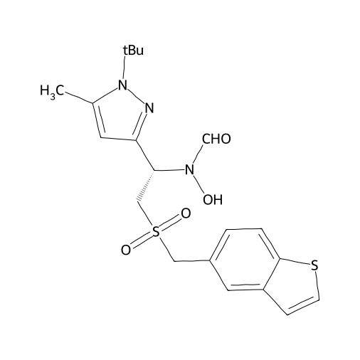 Cc1cc([C@@H](CS(=O)(=O)Cc2ccc3sccc3c2)N(O)C=O)nn1C(C)(C)C